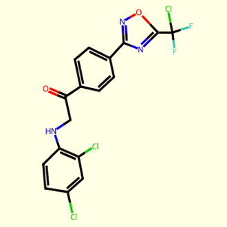 O=C(CNc1ccc(Cl)cc1Cl)c1ccc(-c2noc(C(F)(F)Cl)n2)cc1